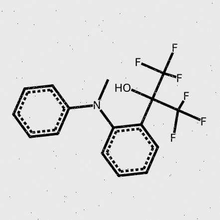 CN(c1ccccc1)c1ccccc1C(O)(C(F)(F)F)C(F)(F)F